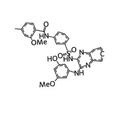 COc1cc(O)cc(Nc2nc3ccccc3nc2NS(=O)(=O)c2cccc(NC(=O)c3ccc(C)cc3OC)c2)c1